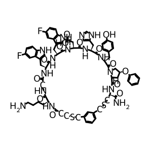 NCCCC[C@@H]1NC(=O)CCSCc2cccc(c2)CSC[C@H](C(N)=O)NC(=O)[C@@H]2C[C@H](Oc3ccccc3)CN2C(=O)[C@H](Cc2ccc(O)cc2)NC(=O)[C@H](Cc2cnc[nH]2)NC(=O)[C@H](CC(=O)O)NC(=O)[C@H](Cc2c[nH]c3ccc(F)cc23)NC(=O)[C@H](Cc2c[nH]c3ccc(F)cc23)NC(=O)CNC1=O